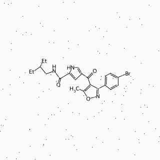 CCC(CC)CNC(=O)c1cc(C(=O)c2c(-c3ccc(Br)cc3)noc2C)c[nH]1